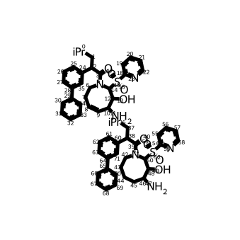 CC(C)CC(C(=O)N1CCC=CC(N)C(O)C1S(=O)(=O)c1ccccn1)c1cccc(-c2ccccc2)c1.CC(C)CC(C(=O)N1CCCCC(N)C(O)C1S(=O)(=O)c1ccccn1)c1cccc(-c2ccccc2)c1